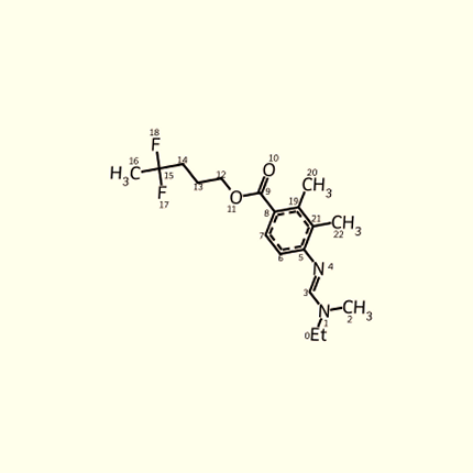 CCN(C)/C=N/c1ccc(C(=O)OCCCC(C)(F)F)c(C)c1C